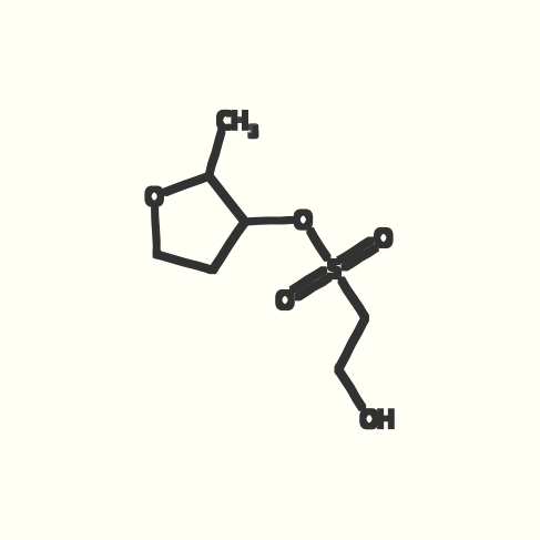 CC1OCCC1OS(=O)(=O)CCO